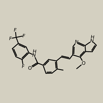 COc1c(C=Cc2cc(C(=O)Nc3cc(C(F)(F)F)ccc3F)ccc2C)cnc2[nH]ccc12